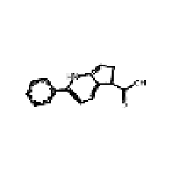 O=C(O)C1CC=C2NC(c3ccccc3)=CC=C21